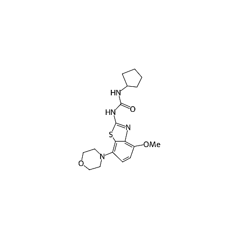 COc1ccc(N2CCOCC2)c2sc(NC(=O)NC3CCCC3)nc12